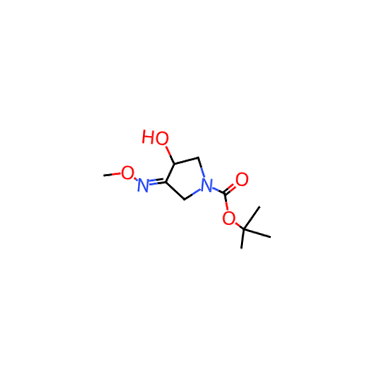 CON=C1CN(C(=O)OC(C)(C)C)CC1O